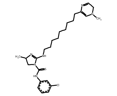 CC1CN(C(=S)Nc2cccc(Cl)c2)C(NCCCCCCCCCC2=CN(C)CC=N2)=N1